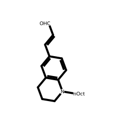 CCCCCCCCN1CCCc2cc(/C=C/C=O)ccc21